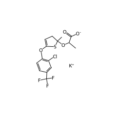 CC(OC1(C)CC=C(Oc2ccc(C(F)(F)F)cc2Cl)S1)C(=O)[O-].[K+]